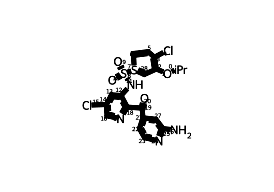 CC(C)OC1=C(Cl)C=CS(S(=O)(=O)Nc2cc(Cl)cnc2C(=O)c2ccnc(N)c2)=C1